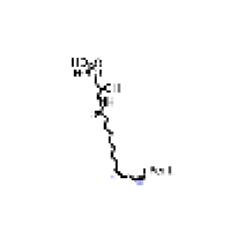 CCCCC/C=C\C/C=C\CCCCCCCC(=O)NCC(O)COP(=O)(O)O